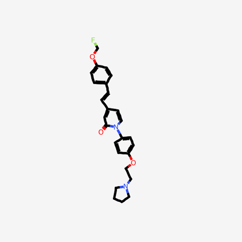 O=c1cc(/C=C/c2ccc(OCF)cc2)ccn1-c1ccc(OCCN2CCCC2)cc1